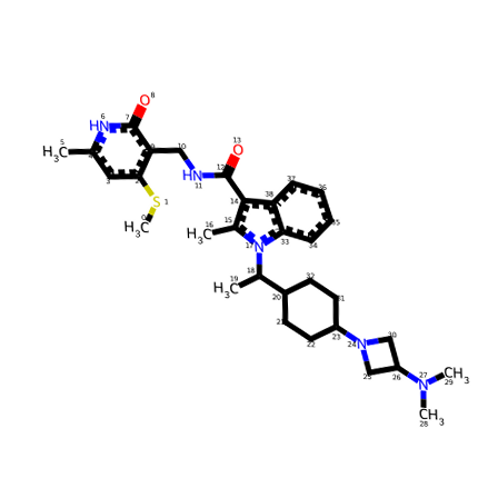 CSc1cc(C)[nH]c(=O)c1CNC(=O)c1c(C)n(C(C)C2CCC(N3CC(N(C)C)C3)CC2)c2ccccc12